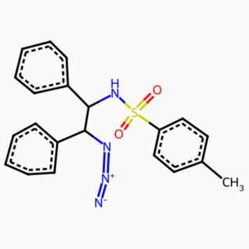 Cc1ccc(S(=O)(=O)NC(c2ccccc2)C(N=[N+]=[N-])c2ccccc2)cc1